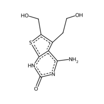 Nc1nc(=O)[nH]c2sc(CO)c(CCO)c12